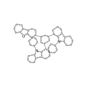 c1ccc(-n2c3ccccc3c3cccc(-c4cc(-c5ccc6c(c5)oc5ccccc56)cc(-c5cccc6c7ccccc7n(-c7ccccc7)c56)c4)c32)cc1